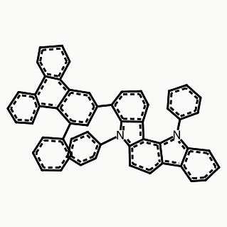 c1ccc(-c2cc(-c3cccc4c5c(ccc6c7ccccc7n(-c7ccccc7)c65)n(-c5ccccc5)c34)cc3c4ccccc4c4ccccc4c23)cc1